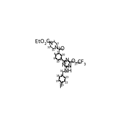 CCOC(=O)N1CCN(C(=O)c2cccc(-c3nc(NCc4ccc(F)cc4)nc(OCC(F)(F)F)n3)c2)CC1